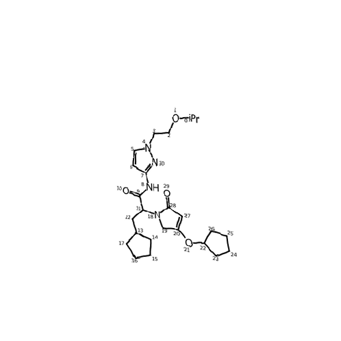 CC(C)OCCn1ccc(NC(=O)C(CC2CCCC2)N2CC(OC3CCCC3)=CC2=O)n1